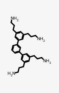 NCCCc1cc(CCCN)cc(-c2cccc(-c3cc(CCCN)cc(CCCN)c3)c2)c1